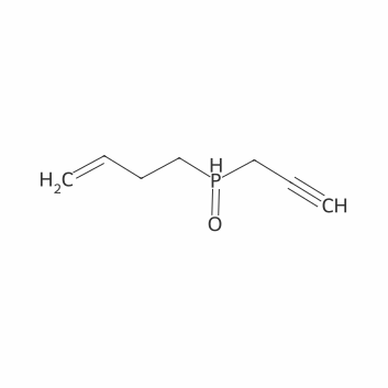 C#CC[PH](=O)CCC=C